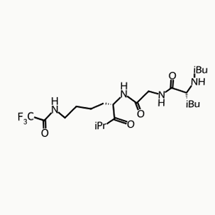 CCC(C)NC(C(=O)NCC(=O)N[C@@H](CCCCNC(=O)C(F)(F)F)C(=O)C(C)C)[C@@H](C)CC